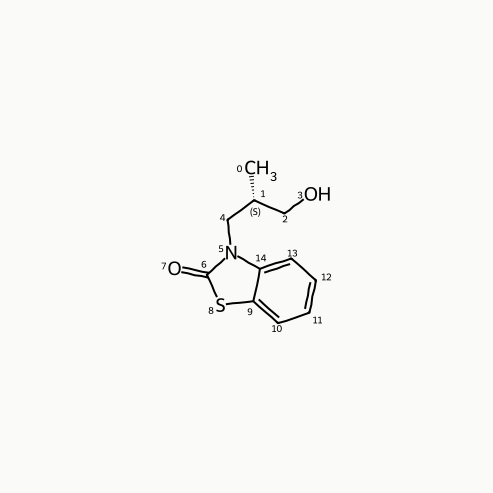 C[C@H](CO)Cn1c(=O)sc2ccccc21